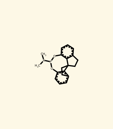 CN(C)P1Oc2cccc3c2C2(CC3)CCc3cccc(c32)O1